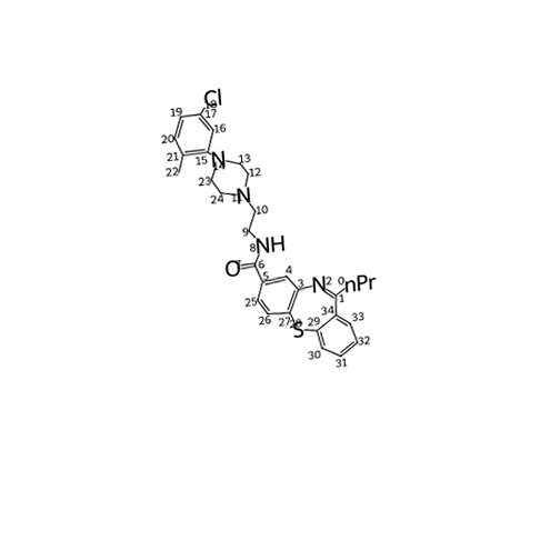 CCCC1=Nc2cc(C(=O)NCCN3CCN(c4cc(Cl)ccc4C)CC3)ccc2Sc2ccccc21